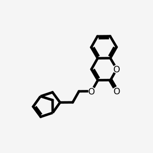 O=c1oc2ccccc2cc1OCCC1CC2C=CC1C2